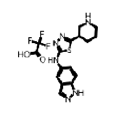 O=C(O)C(F)(F)F.c1cc2[nH]ncc2cc1Nc1nnc(C2CCCNC2)s1